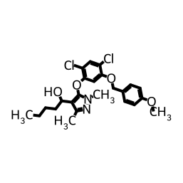 CCCCC(O)c1c(C)nn(C)c1Oc1cc(OCc2ccc(OC)cc2)c(Cl)cc1Cl